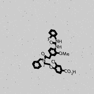 COc1cc(CC(=O)N(Cc2ccccc2)[C@@H](C)COc2ccc(C(=O)O)cc2Cl)ccc1NC(=O)Nc1ccccc1F